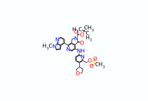 Cn1ccc2c(-c3ncc(Nc4ccc(C5CCOC5)c(COS(C)(=O)=O)n4)c4c3CN(C(=O)OC(C)(C)C)C4=O)ccnc21